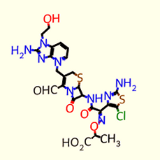 C[C@H](O/N=C(\C(=O)NC1C(=O)N2C(C=O)=C(C[n+]3cccc4c3nc(N)n4CCO)CSC12)c1nc(N)sc1Cl)C(=O)O